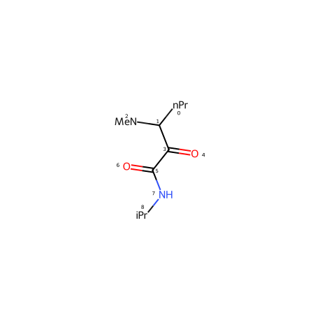 CCCC(NC)C(=O)C(=O)NC(C)C